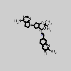 CC1(C)OC2CC(N3CCc4c(N)ncnc43)CC2[C@@H](/C=C/c2ccc3cc(Cl)c(N)nc3c2)O1